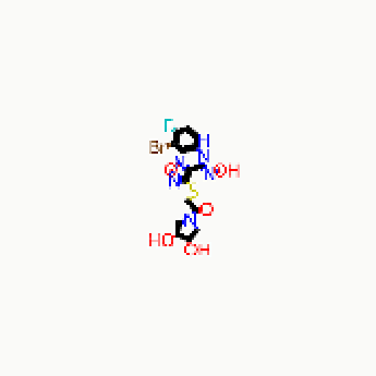 O=C(CSc1nonc1/C(=N/O)Nc1ccc(F)c(Br)c1)N1C[C@@H](O)[C@@H](O)C1